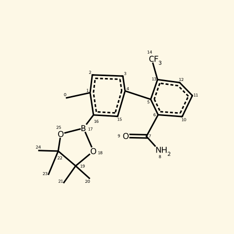 Cc1ccc(-c2c(C(N)=O)cccc2C(F)(F)F)cc1B1OC(C)(C)C(C)(C)O1